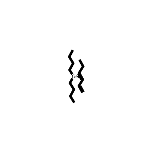 C=CC=CCC.CCC[CH2][GeH2][CH2]CCC